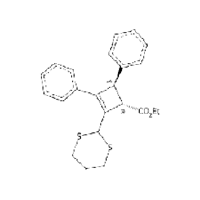 CCOC(=O)[C@@H]1C(C2SCCCS2)=C(c2ccccc2)[C@H]1c1ccccc1